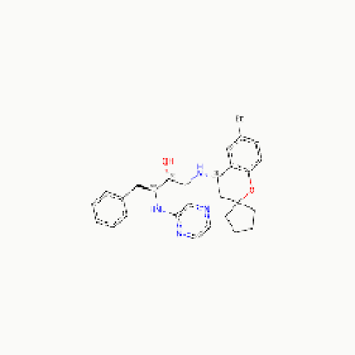 CCc1ccc2c(c1)[C@@H](NC[C@@H](O)[C@H](Cc1ccccc1)Nc1cnccn1)CC1(CCCC1)O2